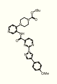 COc1ccc(-c2cnn(-c3nccc(C(=O)Nc4cnccc4N4CCN(C(=O)OC(C)(C)C)CC4)n3)c2)cc1